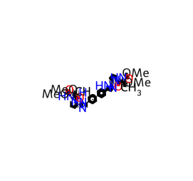 COC(=O)N[C@H](C(=O)N1CCC[C@H]1c1ncc(-c2ccc([C@H]3CC[C@H](c4cnc([C@@H]5CCCN5C(=O)[C@@H](NC(=O)OC)[C@@H](C)OC)[nH]4)CC3)cc2)[nH]1)[C@@H](C)OC